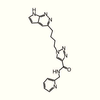 O=C(NCc1ccccn1)c1cn(CCCCc2cc3cc[nH]c3nn2)nn1